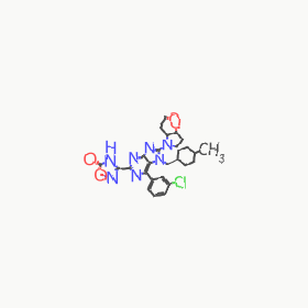 CC1CCC(Cn2c(N3CCC4OCCC43)nc3nc(-c4noc(=O)[nH]4)nc(-c4cccc(Cl)c4)c32)CC1